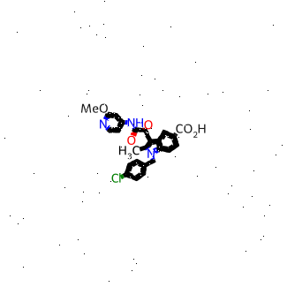 COc1cc(NC(=O)C(=O)c2c(C)n(Cc3ccc(Cl)cc3)c3ccc(C(=O)O)cc23)ccn1